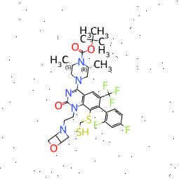 C[C@@H]1CN(c2nc(=O)n(CCN3CC4OCC43)c3c(SCS)c(-c4ccc(F)cc4F)c(C(F)(F)F)cc23)C[C@H](C)N1C(=O)OC(C)(C)C